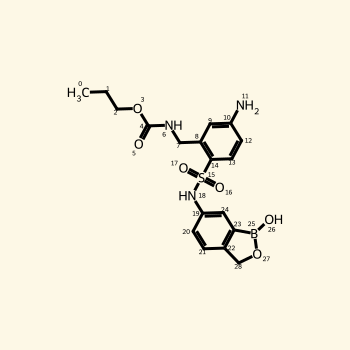 CCCOC(=O)NCc1cc(N)ccc1S(=O)(=O)Nc1ccc2c(c1)B(O)OC2